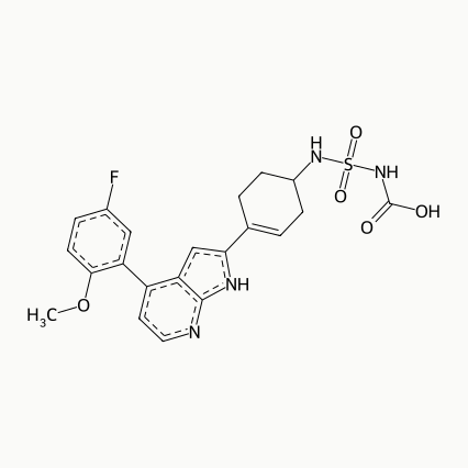 COc1ccc(F)cc1-c1ccnc2[nH]c(C3=CCC(NS(=O)(=O)NC(=O)O)CC3)cc12